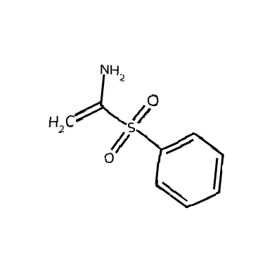 C=C(N)S(=O)(=O)c1ccccc1